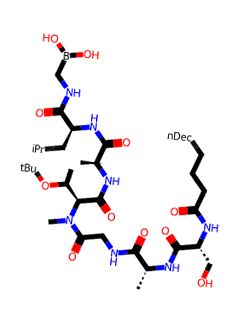 CCCCCCCCCCCCCC(=O)N[C@H](CO)C(=O)N[C@H](C)C(=O)NCC(=O)N(C)[C@H](C(=O)N[C@@H](C)C(=O)N[C@@H](CC(C)C)C(=O)NCB(O)O)C(C)OC(C)(C)C